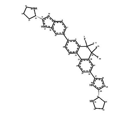 FC1(F)c2cc(-c3ccc4nc([C@@H]5CCCN5)[nH]c4c3)ccc2-c2ccc(-c3cnc([C@@H]4CCCN4)[nH]3)cc2C1(F)F